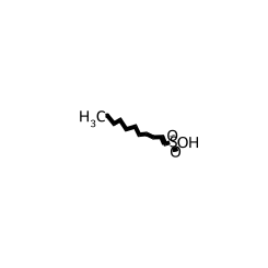 CCCCCCCCC/C=C/S(=O)(=O)O